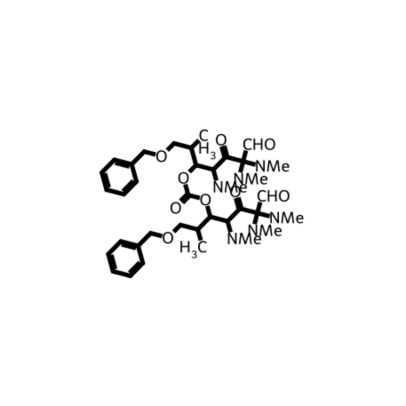 CNC(C(=O)C(C=O)(NC)NC)C(OC(=O)OC(C(C)COCc1ccccc1)C(NC)C(=O)C(C=O)(NC)NC)C(C)COCc1ccccc1